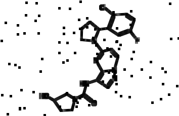 O=C(Nc1cnn2ccc(N3CCCC3c3cc(F)ccc3Cl)nc12)N1CCC(O)C1